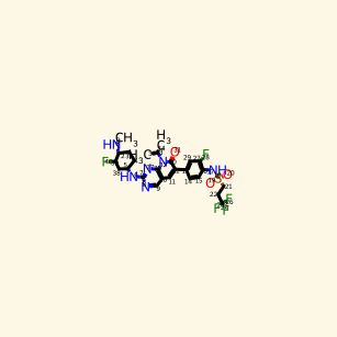 CNC1CCC(Nc2ncc3cc(-c4ccc(NS(=O)(=O)CCC(F)(F)F)c(F)c4)c(=O)n(C(C)C)c3n2)CC1F